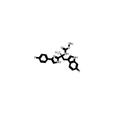 CC(C)(C)OC(=O)N[C@](C)(Cc1c[nH]c2cc(F)ccc12)c1nc(-c2ccc(F)cc2)c[nH]1